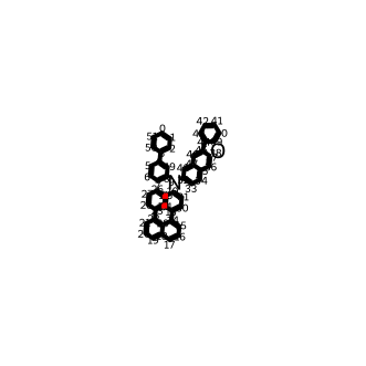 c1ccc(-c2cccc(N(c3ccc(-c4cccc5cccc(-c6ccccc6)c45)cc3)c3ccc4cc5oc6ccccc6c5cc4c3)c2)cc1